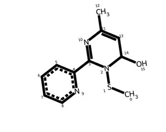 CSN1C(c2ccccn2)=NC(C)=CC1O